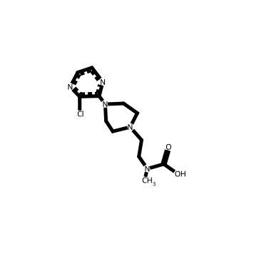 CN(CCN1CCN(c2nccnc2Cl)CC1)C(=O)O